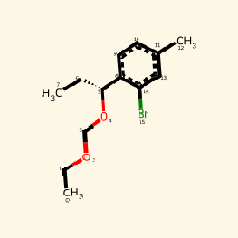 CCOCO[C@H](CC)c1ccc(C)cc1Br